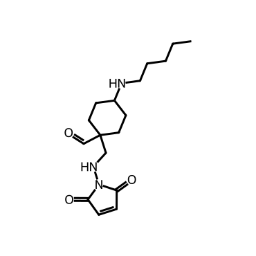 CCCCCNC1CCC(C=O)(CNN2C(=O)C=CC2=O)CC1